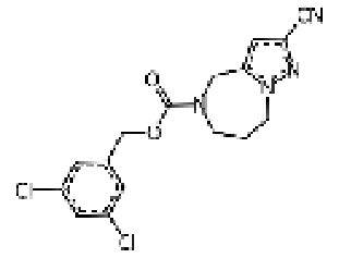 N#Cc1cc2n(n1)CCCN(C(=O)OCc1cc(Cl)cc(Cl)c1)C2